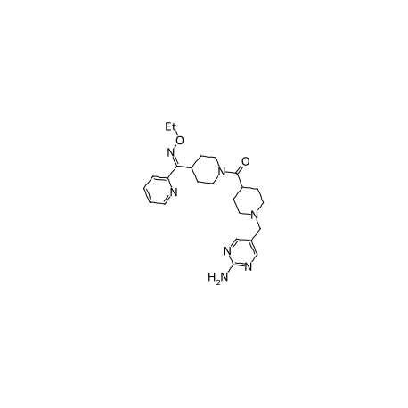 CCON=C(c1ccccn1)C1CCN(C(=O)C2CCN(Cc3cnc(N)nc3)CC2)CC1